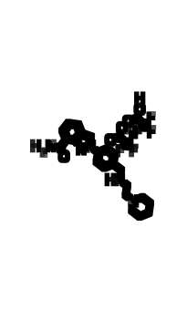 NC(=O)c1cccc2cn(-c3ccc(CNCCN4CCCCC4)cc3)nc12.O=C(O)C(F)(F)F.O=C(O)C(F)(F)F